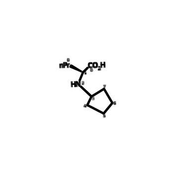 CCC[C@H](NC1CCCC1)C(=O)O